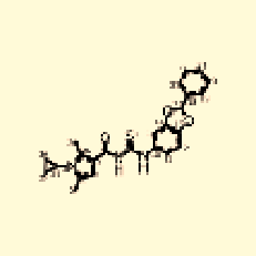 Cc1cc(C(=O)NC(=S)Nc2ccc3c(c2)OC(c2ccccc2)O3)c(C)n1C1CC1